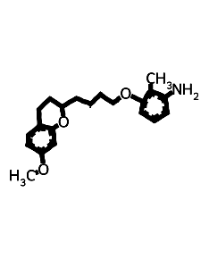 COc1ccc2c(c1)OC(C[CH]CCOc1cccc(N)c1C)CC2